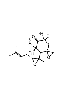 [2H]C1([2H])C[C@]2(CO2)[C@@H](C2(C)O[C@@H]2CC=C(C)C)[C@]([2H])(OC)C1=O